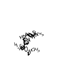 CCN1CC[C@@H]1COc1cnn(C)c1-c1ccn2nc(Nc3cnc(C(=O)OC)cn3)cc2c1